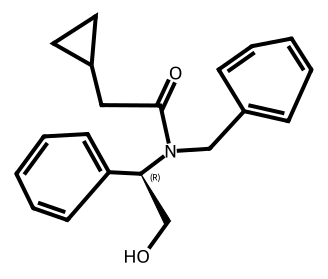 O=C(CC1CC1)N(Cc1ccccc1)[C@@H](CO)c1ccccc1